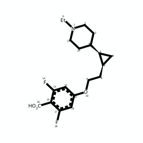 CCN1CCC([C@H]2C[C@H]2CCOc2cc(F)c(C(=O)O)c(F)c2)CC1